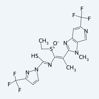 CC[S+]([O-])C(/N=C(\S)n1ccc(C(F)(F)F)n1)=C(/C)c1nc2cc(C(F)(F)F)ncc2n1C